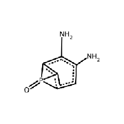 Nc1cc2c3c(c1N)P23=O